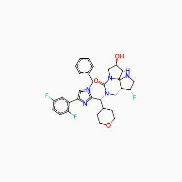 O=C(N1C[CH][C@H](O)C1)N(C[C@@H]1CNC[C@@H]1F)[C@@H](c1nc(-c2cc(F)ccc2F)cn1Cc1ccccc1)C1CCOCC1